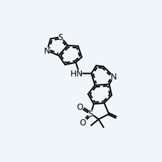 C=C1c2cc3nccc(Nc4ccc5scnc5c4)c3cc2S(=O)(=O)C1(C)C